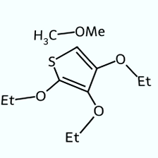 CCOc1csc(OCC)c1OCC.COC